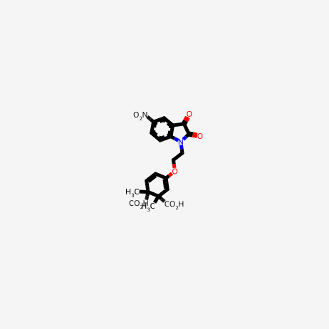 CC1(C(=O)O)C=CC(OCCN2C(=O)C(=O)c3cc([N+](=O)[O-])ccc32)=CC1(C)C(=O)O